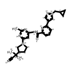 Cc1nc(NC(=O)c2cccc(-c3cnn(CC4CC4)c3)n2)cc(N2CCC(C(C)(C)C#N)C2)n1